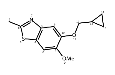 COc1cc2sc(C)nc2cc1OCC1CC1